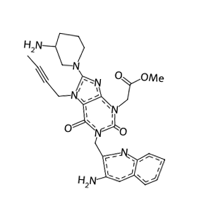 CC#CCn1c(N2CCCC(N)C2)nc2c1c(=O)n(Cc1nc3ccccc3cc1N)c(=O)n2CC(=O)OC